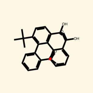 CC(C)(C)c1ccc(C(=O)O)c(-c2ccccc2C(=O)O)c1-c1ccccc1C(=O)O